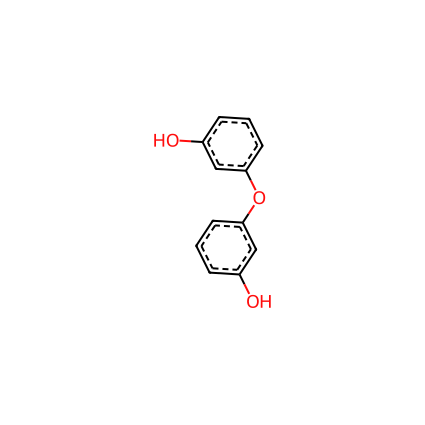 Oc1cccc(Oc2cccc(O)c2)c1